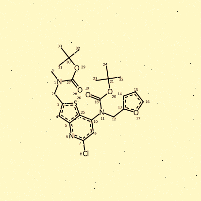 CN(Cc1cc2nc(Cl)cc(N(Cc3ccco3)C(=O)OC(C)(C)C)c2s1)C(=O)OC(C)(C)C